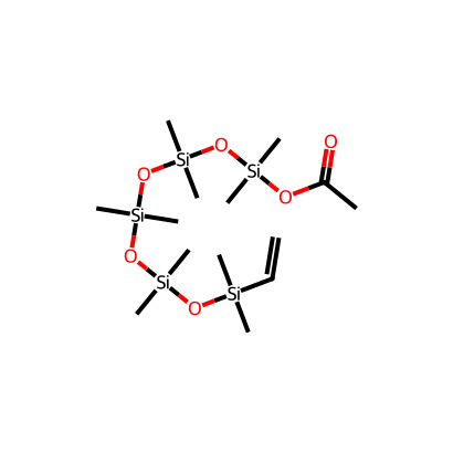 C=C[Si](C)(C)O[Si](C)(C)O[Si](C)(C)O[Si](C)(C)O[Si](C)(C)OC(C)=O